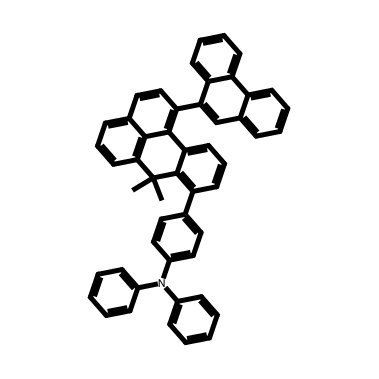 CC1(C)c2c(-c3ccc(N(c4ccccc4)c4ccccc4)cc3)cccc2-c2c(-c3cc4ccccc4c4ccccc34)ccc3cccc1c23